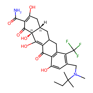 CCC(C)(C)N(C)Cc1cc(O)c2c(c1C(F)(F)F)CC1C[C@H]3CC(O)=C(C(N)=O)C(=O)[C@@]3(O)C(O)=C1C2=O